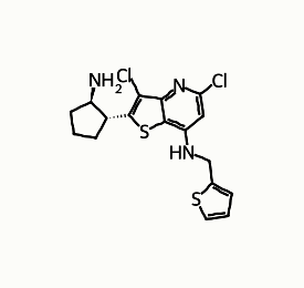 N[C@@H]1CCC[C@H]1c1sc2c(NCc3cccs3)cc(Cl)nc2c1Cl